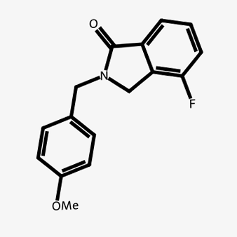 COc1ccc(CN2Cc3c(F)cccc3C2=O)cc1